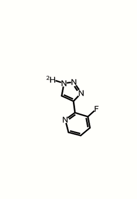 [2H]n1cc(-c2ncccc2F)nn1